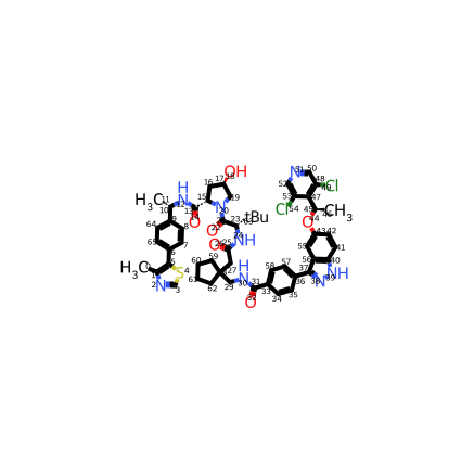 Cc1ncsc1-c1ccc([C@H](C)NC(=O)[C@@H]2C[C@@H](O)CN2C(=O)[C@@H](NC(=O)CC2(CNC(=O)c3ccc(-c4n[nH]c5ccc(O[C@H](C)c6c(Cl)cncc6Cl)cc45)cc3)CCCC2)C(C)(C)C)cc1